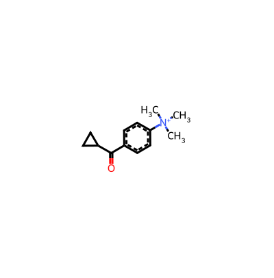 C[N+](C)(C)c1ccc(C(=O)C2CC2)cc1